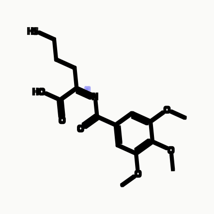 COc1cc(C(=O)/N=C(/CCCS)C(=O)O)cc(OC)c1OC